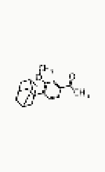 COc1cc(C(C)=O)ccc1C12CC3CC(CC(C3)C1)C2